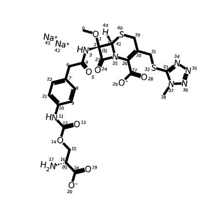 CO[C@@]1(NC(=O)Cc2ccc(NC(=O)OC[C@@H](N)C(=O)[O-])cc2)C(=O)N2C(C(=O)[O-])=C(CSc3nnnn3C)CS[C@H]21.[Na+].[Na+]